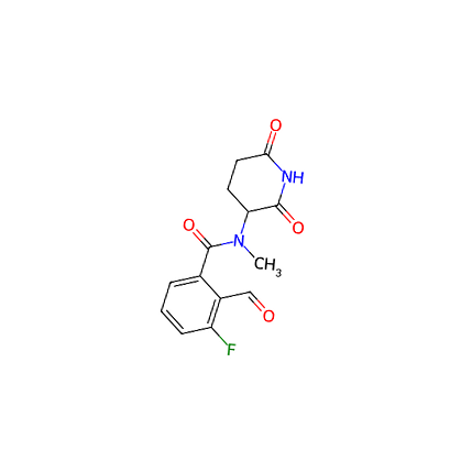 CN(C(=O)c1cccc(F)c1C=O)C1CCC(=O)NC1=O